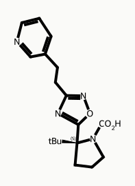 CC(C)(C)[C@]1(c2nc(CCc3cccnc3)no2)CCCN1C(=O)O